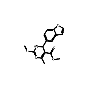 COC(=O)C1=C(C)N=C(OC)NC1c1ccc2occc2c1